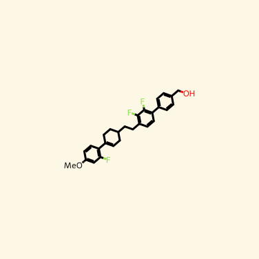 COc1ccc(C2=CCC(CCc3ccc(-c4ccc(CO)cc4)c(F)c3F)CC2)c(F)c1